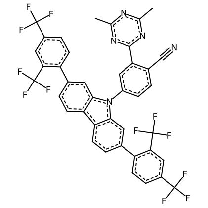 Cc1nc(C)nc(-c2cc(-n3c4cc(-c5ccc(C(F)(F)F)cc5C(F)(F)F)ccc4c4ccc(-c5ccc(C(F)(F)F)cc5C(F)(F)F)cc43)ccc2C#N)n1